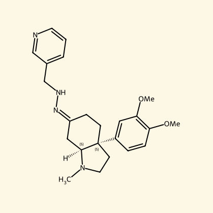 COc1ccc([C@@]23CCC(=NNCc4cccnc4)C[C@@H]2N(C)CC3)cc1OC